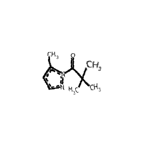 Cc1ccnn1C(=O)C(C)(C)C